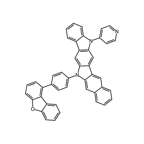 c1ccc2cc3c(cc2c1)c1cc2c(cc1n3-c1ccc(-c3cccc4oc5ccccc5c34)cc1)c1ccccc1n2-c1ccncc1